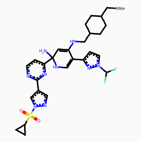 CNCC1CCC(CNC2=CC(N)(c3ccnc(-c4cnn(S(=O)(=O)C5CC5)c4)n3)NC=C2c2ccn(C(F)F)n2)CC1